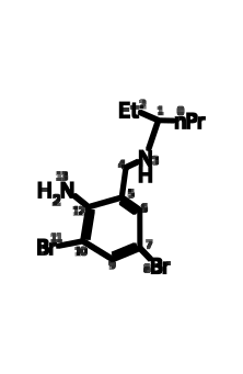 CCCC(CC)NCc1cc(Br)cc(Br)c1N